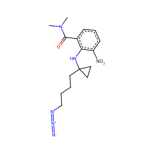 CN(C)C(=O)c1cccc([N+](=O)[O-])c1NC1(CCCCN=[N+]=[N-])CC1